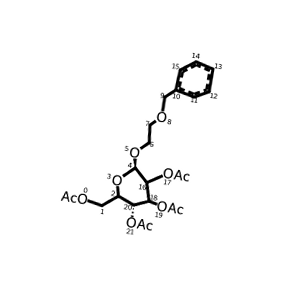 CC(=O)OCC1O[C@@H](OCCOCc2ccccc2)C(OC(C)=O)C(OC(C)=O)[C@@H]1OC(C)=O